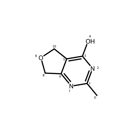 Cc1nc(O)c2c(n1)COC2